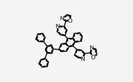 c1ccc(-c2cc(-c3ccccc3)cc(-c3ccc4c(-c5ccnc(-c6ncco6)c5)c5ccccc5c(-c5ccnc(-c6ncco6)c5)c4c3)c2)cc1